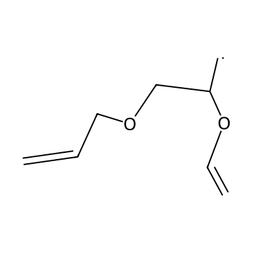 [CH2]C(COCC=C)OC=C